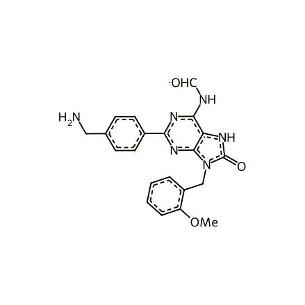 COc1ccccc1Cn1c(=O)[nH]c2c(N[C]=O)nc(-c3ccc(CN)cc3)nc21